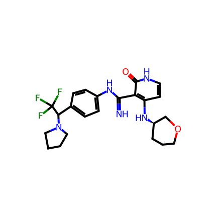 N=C(Nc1ccc(C(N2CCCC2)C(F)(F)F)cc1)c1c(N[C@@H]2CCCOC2)cc[nH]c1=O